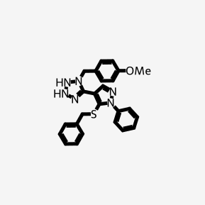 COc1ccc(CN2NNN=C2c2cnn(-c3ccccc3)c2SCc2ccccc2)cc1